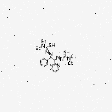 CCN(CC)/C(S)=N/N=C(/C(=N/N=C(\S)N(CC)CC)c1ccccc1)c1ncccn1